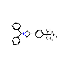 CC(C)(C)c1ccc(C2CN(C(c3ccccc3)c3ccccc3)C2)cc1